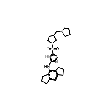 O=S(=O)(c1nnc(Nc2c3c(cc4c2CCC4)CCC3)[nH]1)N1CCC(CN2CCCC2)C1